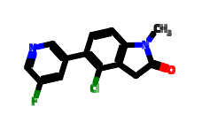 CN1C(=O)Cc2c1ccc(-c1cncc(F)c1)c2Cl